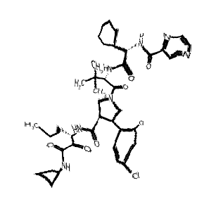 CCC[C@H](NC(=O)[C@H]1CN(C(=O)[C@@H](NC(=O)[C@@H](NC(=O)c2cnccn2)C2CCCCC2)C(C)(C)C)CC1c1ccc(Cl)cc1Cl)C(=O)C(=O)NC1CC1